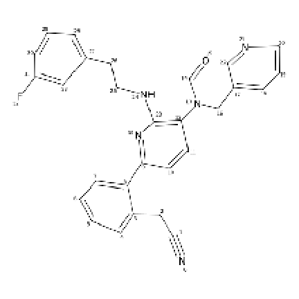 N#CCc1ccccc1-c1ccc(N(C=O)Cc2cccnc2)c(NCCc2cccc(F)c2)n1